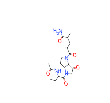 CCC(NC(C)=O)C(=O)N1CC(=O)C2C1CCN2C(=O)[CH]CC(C)C(N)=O